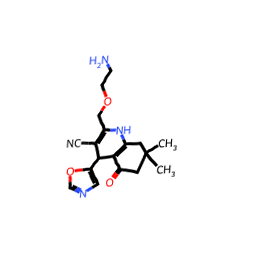 CC1(C)CC(=O)C2=C(C1)NC(COCCN)=C(C#N)C2c1cnco1